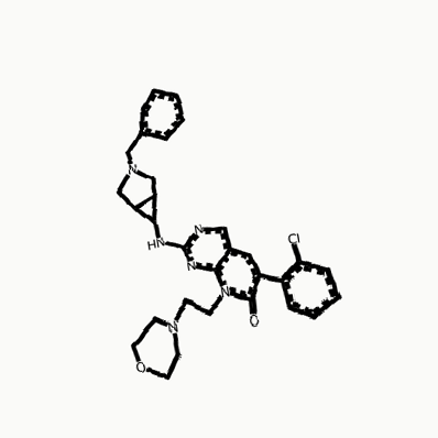 O=c1c(-c2ccccc2Cl)cc2cnc(NC3C4CN(Cc5ccccc5)CC43)nc2n1CCN1CCOCC1